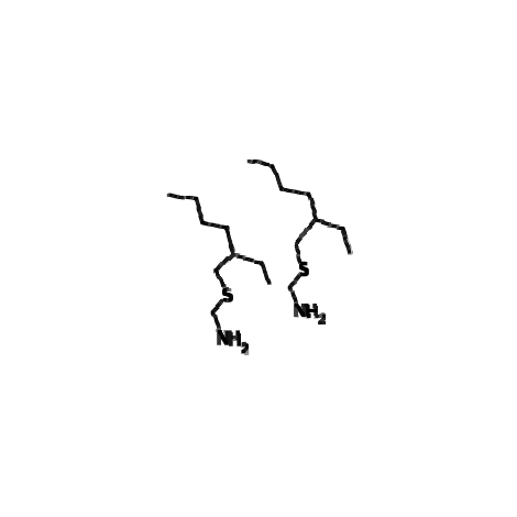 CCCCC(CC)CSCN.CCCCC(CC)CSCN